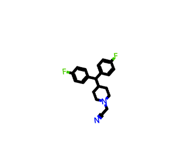 N#CCN1CCC(C(c2ccc(F)cc2)c2ccc(F)cc2)CC1